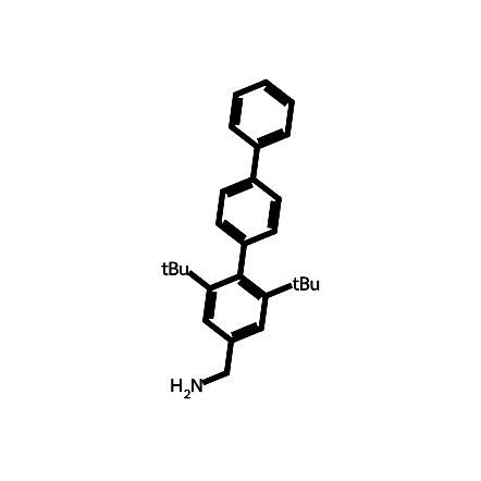 CC(C)(C)c1cc(CN)cc(C(C)(C)C)c1-c1ccc(-c2ccccc2)cc1